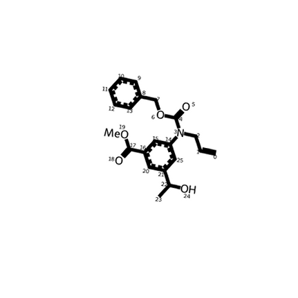 C=CCN(C(=O)OCc1ccccc1)c1cc(C(=O)OC)cc(C(C)O)c1